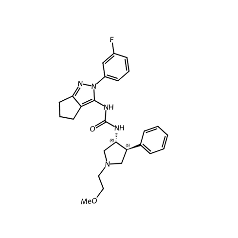 COCCN1C[C@H](NC(=O)Nc2c3c(nn2-c2cccc(F)c2)CCC3)[C@@H](c2ccccc2)C1